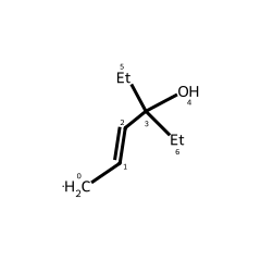 [CH2]C=CC(O)(CC)CC